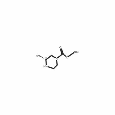 CCC[C@@H]1CN(C(=O)OC(C)(C)C)CCN1